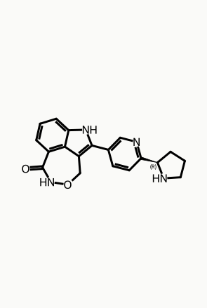 O=C1NOCc2c(-c3ccc([C@H]4CCCN4)nc3)[nH]c3cccc1c23